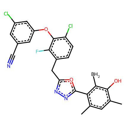 Bc1c(O)c(C)cc(C)c1-c1nnc(Cc2ccc(Cl)c(Oc3cc(Cl)cc(C#N)c3)c2F)o1